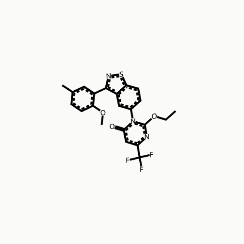 CCOc1nc(C(F)(F)F)cc(=O)n1-c1ccc2snc(-c3cc(C)ccc3OC)c2c1